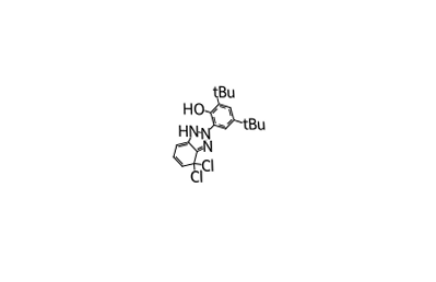 CC(C)(C)c1cc(N2N=C3C(=CC=CC3(Cl)Cl)N2)c(O)c(C(C)(C)C)c1